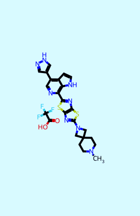 CN1CCC2(CC1)CN(c1nc3sc(-c4ncc(-c5cn[nH]c5)c5cc[nH]c45)nc3s1)C2.O=C(O)C(F)(F)F